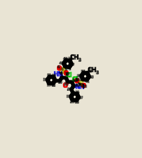 Cc1ccc(S(=O)(=O)NC(Cc2ccccc2)C(Cl)C(=O)C(Cl)C(Cc2ccccc2)NS(=O)(=O)c2ccc(C)cc2)cc1